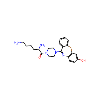 NCCCCC(N)C(=O)N1CCN(C2=Nc3ccc(O)cc3Sc3ccccc32)CC1